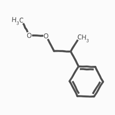 COOCC(C)c1ccccc1